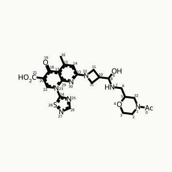 CC(=O)N1CCOC(CNC(O)C2CN(c3cc(C)c4c(=O)c(C(=O)O)cn(-c5ncns5)c4n3)C2)C1